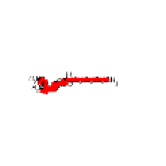 CCCOCCOCCOCCOCCOCCOCCC(=O)NC1CCN(CC(=O)N2CCc3cc(Cn4nc(-c5ccc6oc(N)nc6c5)c5c(N)ncnc54)ccc3C2)CC1